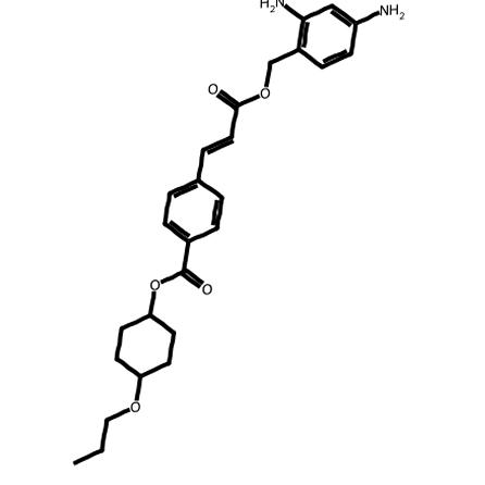 CCCOC1CCC(OC(=O)c2ccc(/C=C/C(=O)OCc3ccc(N)cc3N)cc2)CC1